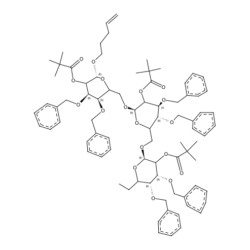 C=CCCCO[C@@H]1OC(CO[C@@H]2OC(CO[C@@H]3OC(CC)[C@@H](OCc4ccccc4)[C@@H](OCc4ccccc4)C3OC(=O)C(C)(C)C)[C@@H](OCc3ccccc3)[C@H](OCc3ccccc3)C2OC(=O)C(C)(C)C)[C@@H](OCc2ccccc2)[C@@H](OCc2ccccc2)C1OC(=O)C(C)(C)C